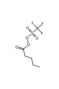 CCCCC(=O)OOS(=O)(=O)C(F)(F)F